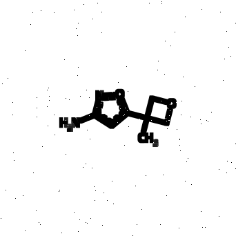 CC1(c2cc(N)no2)COC1